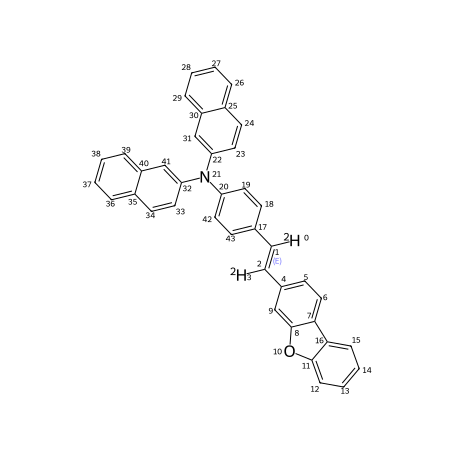 [2H]/C(=C(/[2H])c1ccc2c(c1)oc1ccccc12)c1ccc(N(c2ccc3ccccc3c2)c2ccc3ccccc3c2)cc1